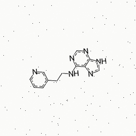 c1cncc(CCNc2ncnc3[nH]cnc23)c1